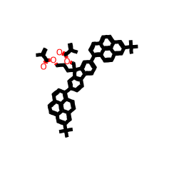 C=C(C)C(=O)OCCCC1(COC(=O)C(=C)C)c2cc(-c3ccc4ccc5cc(C(C)(C)C)cc6ccc3c4c56)ccc2-c2ccc(-c3ccc4ccc5cc(C(C)(C)C)cc6ccc3c4c56)cc21